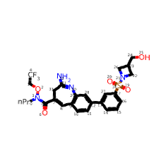 CCCN(OCC(F)(F)F)C(=O)C1=Cc2ccc(-c3cccc(S(=O)(=O)N4CC(CO)C4)c3)cc2N=C(N)C1